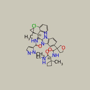 CCNC(=O)[C@H](NC(=O)C1(c2ccc3[nH]c([C@@H](NC(=O)c4ccnn4C)[C@H](c4ccccc4Cl)C4(C)CC4)nc3c2)CCOC1)C1(C)CCC1